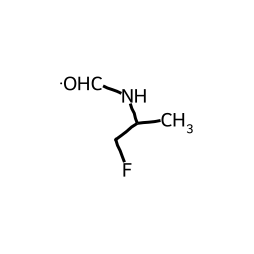 CC(CF)N[C]=O